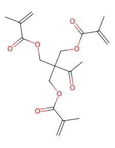 C=C(C)C(=O)OCC(COC(=O)C(=C)C)(COC(=O)C(=C)C)C(C)=O